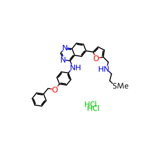 CSCCNCc1ccc(-c2ccc3ncnc(Nc4ccc(OCc5ccccc5)cc4)c3c2)o1.Cl.Cl